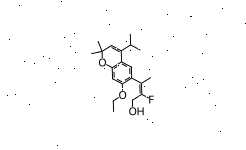 CCOc1cc2c(cc1/C(C)=C(/F)CO)C(C(C)C)=CC(C)(C)O2